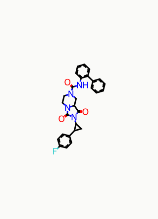 O=C(Nc1ccccc1-c1ccccc1)N1CCN2C(=O)N(C3CC3c3ccc(F)cc3)C(=O)C2C1